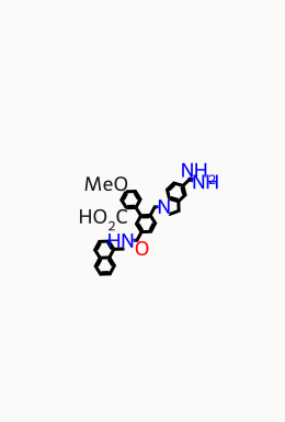 COc1ccc(-c2cc(C(=O)NCc3cccc4ccccc34)ccc2CN2CCc3cc(C(=N)N)ccc32)c(C(=O)O)c1